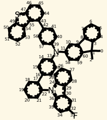 CC1(C)c2ccccc2-c2cc(N(c3ccc(-c4ccccc4-n4c5ccccc5c5cc(F)ccc54)cc3)c3ccc(-c4cccc5sc6ccccc6c45)cc3)ccc21